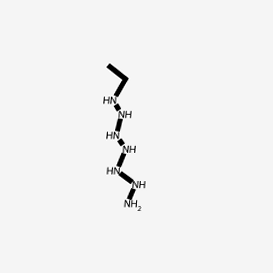 CCNNNNNNN